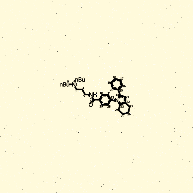 CCCCN(CCCC)CCCNC(=O)c1ccc(-n2c(-c3ccccc3)cc3c2CCCC3)cc1